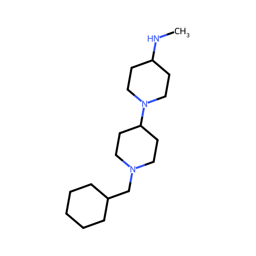 CNC1CCN(C2CCN(CC3CCCCC3)CC2)CC1